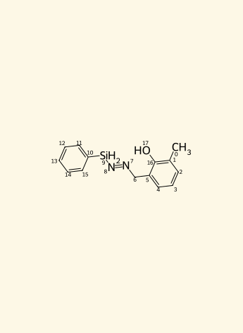 Cc1cccc(C/N=N/[SiH2]c2ccccc2)c1O